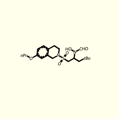 CCCOc1ccc2c(c1)CN(S(=O)(=O)CC(CC(C)(C)C)N(O)C=O)CC2